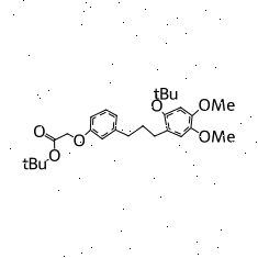 COc1cc(CCCc2cccc(OCC(=O)OC(C)(C)C)c2)c(OC(C)(C)C)cc1OC